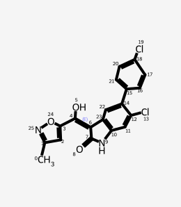 Cc1cc(/C(O)=C2\C(=O)Nc3cc(Cl)c(-c4ccc(Cl)cc4)cc32)on1